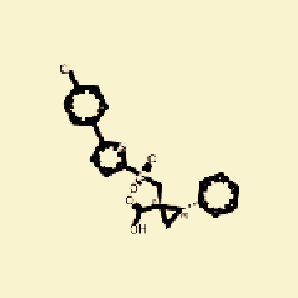 O=C(O)[C@@]1(CS(=O)(=O)c2ccc(-c3ccc(Cl)cc3)s2)C[C@H]1c1ccccc1